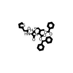 O=C(Cc1cccs1)N[C@@H]1C(=O)N2C(C(=O)OC(c3ccccc3)c3ccccc3)=C(COC(=O)c3ccccc3)CS[C@@H]12